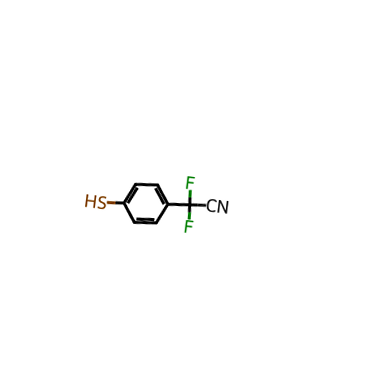 N#CC(F)(F)c1ccc(S)cc1